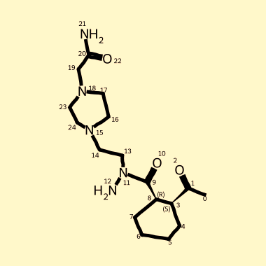 CC(=O)[C@H]1CCCC[C@H]1C(=O)N(N)CCN1CCN(CC(N)=O)CC1